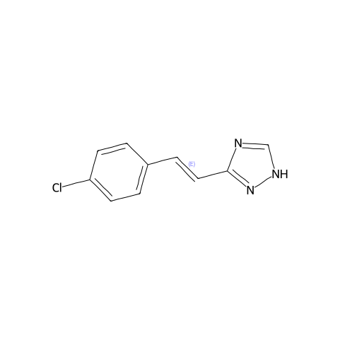 Clc1ccc(/C=C/c2nc[nH]n2)cc1